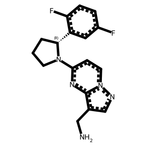 NCc1cnn2ccc(N3CCC[C@@H]3c3cc(F)ccc3F)nc12